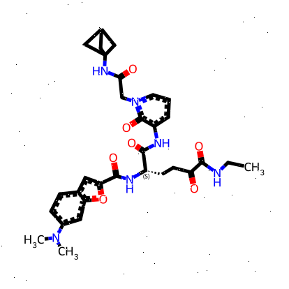 CCNC(=O)C(=O)CC[C@H](NC(=O)c1cc2ccc(N(C)C)cc2o1)C(=O)Nc1cccn(CC(=O)NC23CC(C2)C3)c1=O